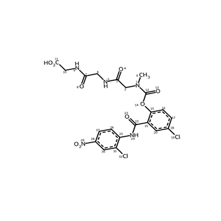 CN(CC(=O)NCC(=O)NCC(=O)O)C(=O)Oc1ccc(Cl)cc1C(=O)Nc1ccc([N+](=O)[O-])cc1Cl